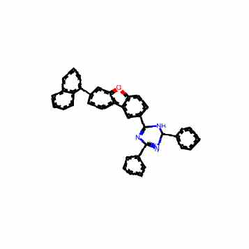 c1ccc(C2=NC(c3ccccc3)NC(c3ccc4oc5cc(-c6cccc7ccccc67)ccc5c4c3)=N2)cc1